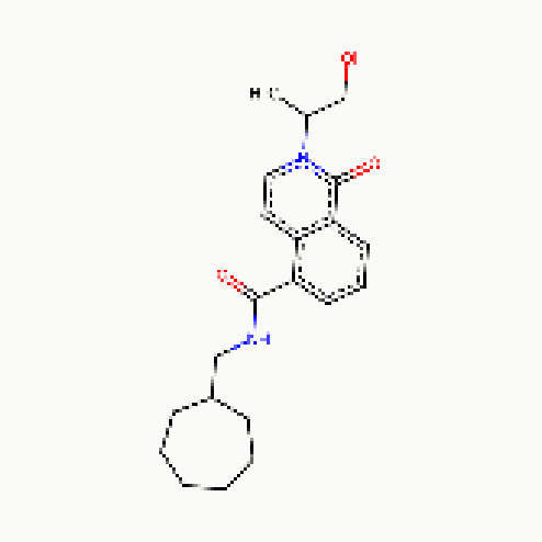 CC(CO)n1ccc2c(C(=O)NCC3CCCCCC3)cccc2c1=O